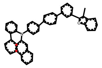 Cc1c(-c2cccc(-c3ccc(-c4ccc(N(c5ccc6ccccc6c5)c5ccccc5-c5ccccc5)cc4)cc3)c2)oc2ccccc12